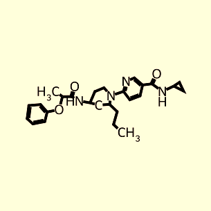 CCCC1CC(NC(=O)C(C)Oc2ccccc2)CCN1c1ccc(C(=O)NC2CC2)cn1